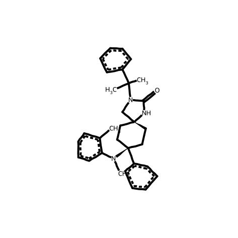 Cc1ccccc1N(C)[C@]1(c2ccccc2)CC[C@@]2(CC1)CN(C(C)(C)c1ccccc1)C(=O)N2